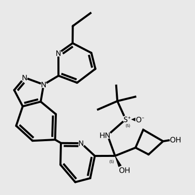 CCc1cccc(-n2ncc3ccc(-c4cccc([C@](O)(N[S@+]([O-])C(C)(C)C)C5CC(O)C5)n4)cc32)n1